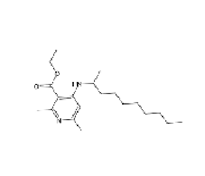 CCCCCCCCC(C)Nc1cc(C)nc(C)c1C(=O)OCC